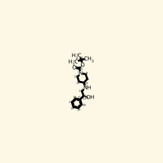 CC(C)(C)OC(=O)N1CCC(NC[C@@H](O)c2ccccc2)CC1